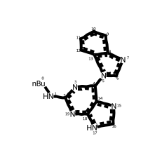 CCCCNc1nc(-n2cnc3ccccc32)c2nc[nH]c2n1